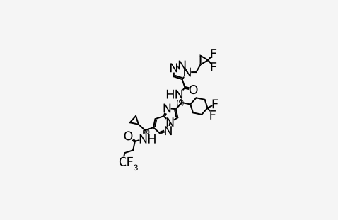 O=C(CCC(F)(F)F)N[C@@H](c1cnn2cc([C@@H](NC(=O)c3cnnn3CC3CC3(F)F)C3CCC(F)(F)CC3)nc2c1)C1CC1